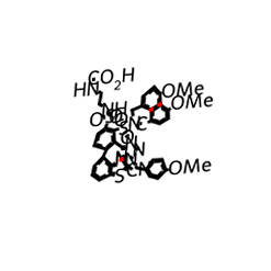 COc1ccc(CN(Cc2ccc(OC)cc2)S(=O)(=O)c2c(S(=O)(=O)NCCNC(=O)O)ccc(-c3cccc4sc(C#N)nc34)c2-c2nnn(Cc3ccc(OC)cc3)n2)cc1